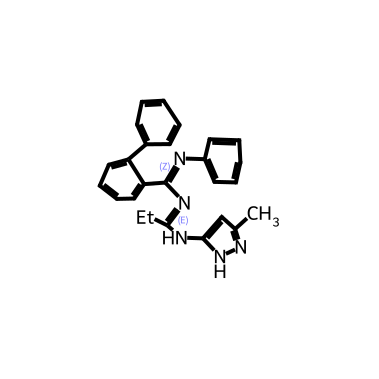 CC/C(=N\C(=N/c1ccccc1)c1ccccc1-c1ccccc1)Nc1cc(C)n[nH]1